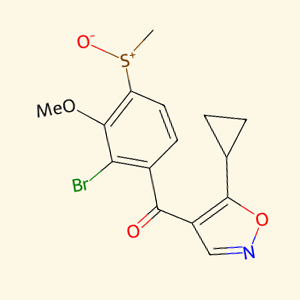 COc1c([S+](C)[O-])ccc(C(=O)c2cnoc2C2CC2)c1Br